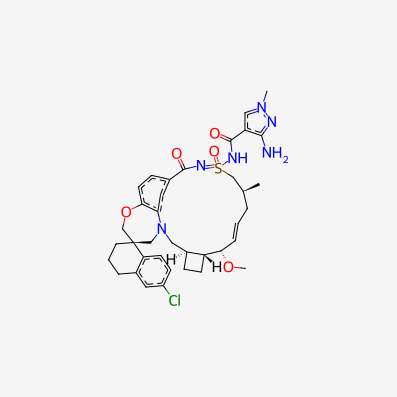 CO[C@H]1/C=C/C[C@H](C)CS(=O)(NC(=O)c2cn(C)nc2N)=NC(=O)c2ccc3c(c2)N(C[C@@H]2CC[C@H]21)C[C@@]1(CCCc2cc(Cl)ccc21)CO3